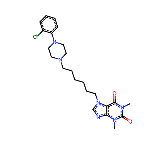 Cn1c(=O)c2c(ncn2CCCCCCN2CCN(c3ccccc3Cl)CC2)n(C)c1=O